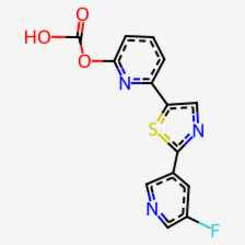 O=C(O)Oc1cccc(-c2cnc(-c3cncc(F)c3)s2)n1